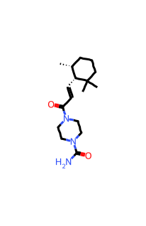 C[C@@H]1CCCC(C)(C)[C@@H]1/C=C/C(=O)N1CCN(C(N)=O)CC1